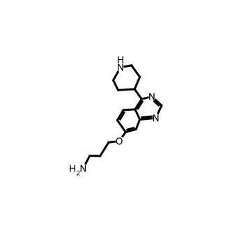 NCCCOc1ccc2c(C3CCNCC3)ncnc2c1